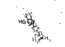 C=C(C)C(=O)Oc1ccc(N=Nc2ccccc2C(=O)O)cc1